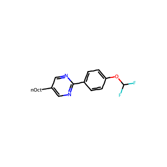 CCCCCCCCc1cnc(-c2ccc(OC(F)F)cc2)nc1